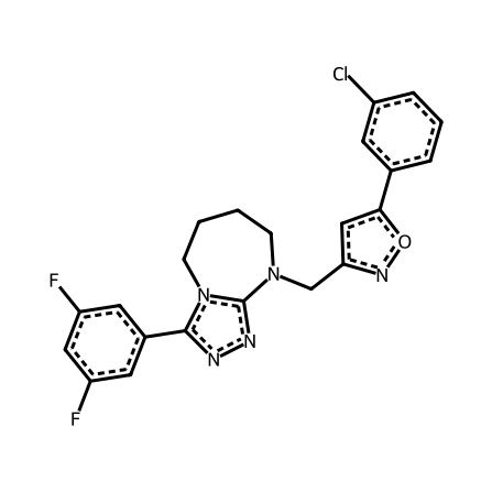 Fc1cc(F)cc(-c2nnc3n2CCCCN3Cc2cc(-c3cccc(Cl)c3)on2)c1